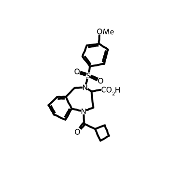 COc1ccc(S(=O)(=O)N2Cc3ccccc3N(C(=O)C3CCC3)CC2C(=O)O)cc1